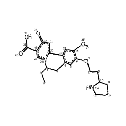 CCC1Cc2cc(OCCC3CCCN3)c(OC)cc2-c2cc(=O)c(C(=O)O)cn21